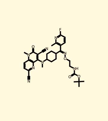 Cc1nc(F)ccc1/C(=N/OCCNC(=O)OC(C)(C)C)C1CCC(N(C)c2c(C#N)c(=O)n(C)c3ccc(C#N)nc23)CC1